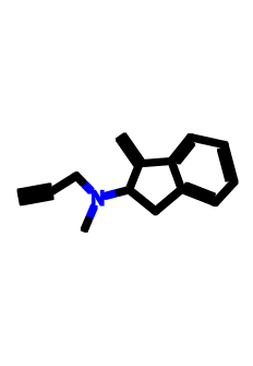 C#CCN(C)C1Cc2ccccc2C1=C